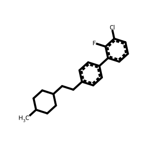 CC1CCC(CCc2ccc(-c3cccc(Cl)c3F)cc2)CC1